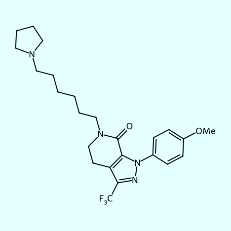 COc1ccc(-n2nc(C(F)(F)F)c3c2C(=O)N(CCCCCCN2CCCC2)CC3)cc1